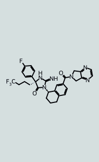 N=C1N[C@](CCCC(F)(F)F)(c2ccc(F)cc2)C(=O)N1[C@@H]1CCCc2ccc(C(=O)N3Cc4nccnc4C3)cc21